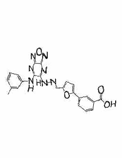 Cc1cccc(Nc2nc3nonc3nc2NN=Cc2ccc(-c3cccc(C(=O)O)c3)o2)c1